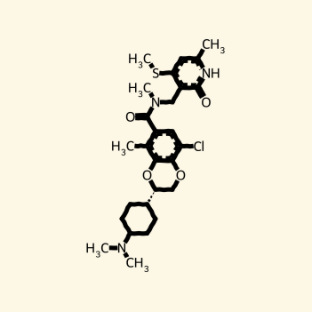 CSc1cc(C)[nH]c(=O)c1CN(C)C(=O)c1cc(Cl)c2c(c1C)O[C@@H](C1CCC(N(C)C)CC1)CO2